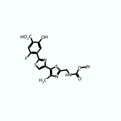 Cc1nc(CNC(=O)OC(C)C)sc1-c1csc(-c2cc(O)c(C(=O)O)cc2F)n1